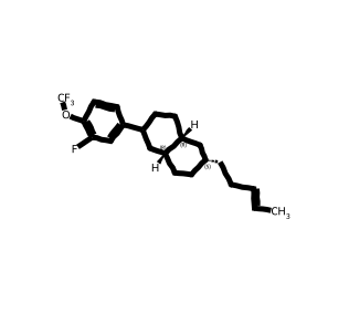 CC=CCC[C@@H]1CC[C@@H]2CC(c3ccc(OC(F)(F)F)c(F)c3)CC[C@@H]2C1